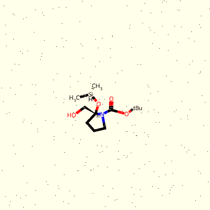 C[SiH](C)O[C@@]1(CO)CCCN1C(=O)OC(C)(C)C